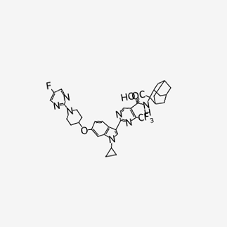 O=C(NC1(C(=O)O)C2CC3CC(C2)CC1C3)c1cnc(-c2cn(C3CC3)c3cc(OC4CCN(c5ncc(F)cn5)CC4)ccc23)nc1C(F)(F)F